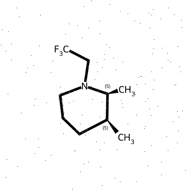 C[C@H]1CCCN(CC(F)(F)F)[C@H]1C